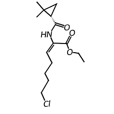 CCOC(=O)/C(=C\CCCCCl)NC(=O)[C@H]1CC1(C)C